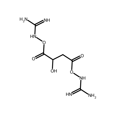 N=C(N)NOC(=O)CC(O)C(=O)ONC(=N)N